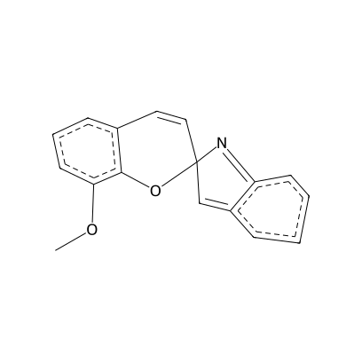 COc1cccc2c1OC1(C=C2)C=c2ccccc2=N1